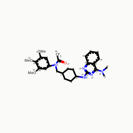 COc1cc(N(CC2CCC(Nc3nc(N(C)C)c4ccccc4n3)CC2)C(=O)C(F)(F)F)cc(OC)c1OC